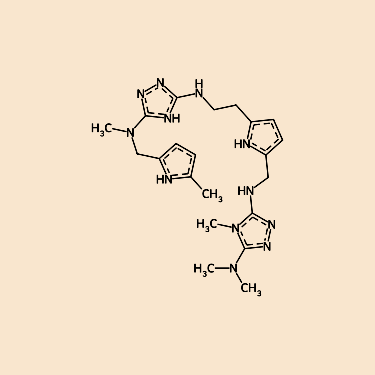 Cc1ccc(CN(C)c2nnc(NCCc3ccc(CNc4nnc(N(C)C)n4C)[nH]3)[nH]2)[nH]1